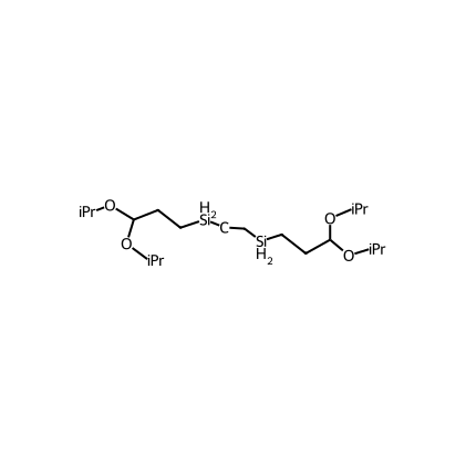 CC(C)OC(CC[SiH2]CC[SiH2]CCC(OC(C)C)OC(C)C)OC(C)C